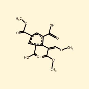 COC=C(C(=O)OC)c1c(C(=O)O)cc(C(=O)OC)cc1C(=O)O